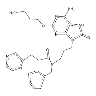 CCCCOc1nc(N)c2[nH]c(=O)n(CCCN(Cc3ccccc3)C(=O)CCc3cnccn3)c2n1